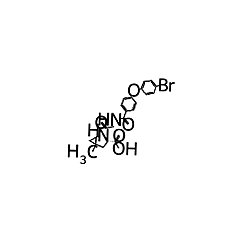 C[C@@]12C[C@@H]1N(C(=O)CNC(=O)c1ccc(Oc3ccc(Br)cc3)cc1)[C@H](C(=O)O)C2